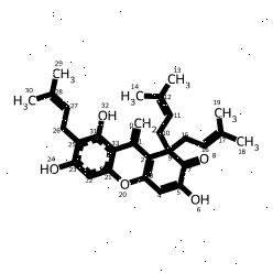 C=C1C2=C(C=C(O)C(=O)C2(CC=C(C)C)CC=C(C)C)Oc2cc(O)c(CC=C(C)C)c(O)c21